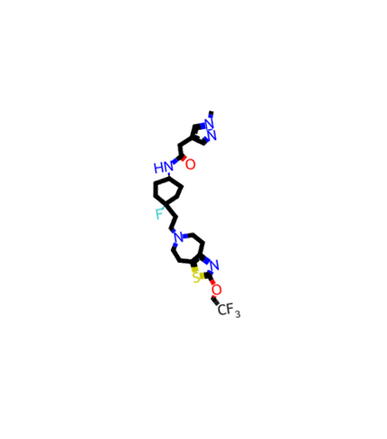 Cn1cc(CC(=O)N[C@H]2CC[C@](F)(CCN3CCc4nc(OCC(F)(F)F)sc4CC3)CC2)cn1